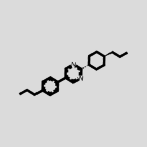 CCCc1ccc(-c2cnc([C@H]3CC[C@H](CCC)CC3)nc2)cc1